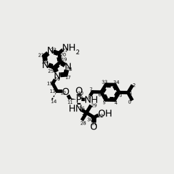 CC(C)c1ccc(CN[P@@](=O)(CO[C@H](C)Cn2cnc3c(N)ncnc32)NC(C)(C)C(=O)O)cc1